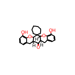 O=C1[C@@H]2Cc3cccc(O)c3OC2C2(CCCCCC2)[C@@H]2Oc3c(O)cccc3C[C@@H]12